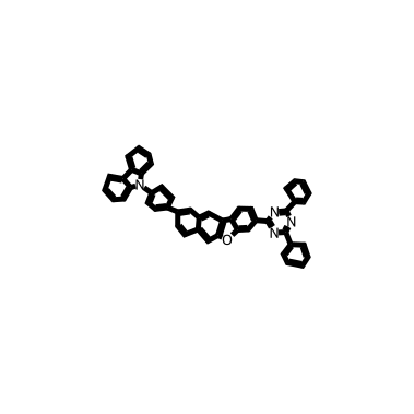 c1ccc(-c2nc(-c3ccccc3)nc(-c3ccc4c(c3)oc3cc5ccc(-c6ccc(-n7c8ccccc8c8ccccc87)cc6)cc5cc34)n2)cc1